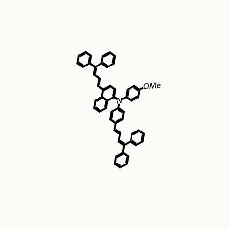 COc1ccc(N(c2ccc(/C=C/C=C(c3ccccc3)c3ccccc3)cc2)c2ccc(/C=C/C=C(c3ccccc3)c3ccccc3)c3ccccc23)cc1